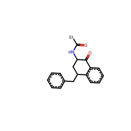 CCC(=O)NC1CC(Cc2ccccc2)c2ccccc2C1=O